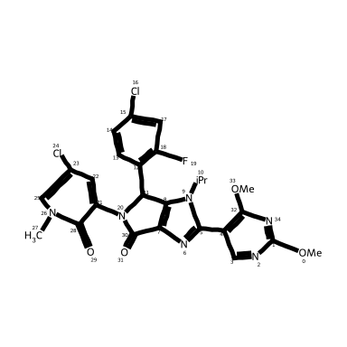 COc1ncc(-c2nc3c(n2C(C)C)C(c2ccc(Cl)cc2F)N(c2cc(Cl)cn(C)c2=O)C3=O)c(OC)n1